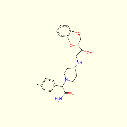 Cc1ccc(C(C(N)=O)N2CCC(NCC(O)C3COc4ccccc4O3)CC2)cc1